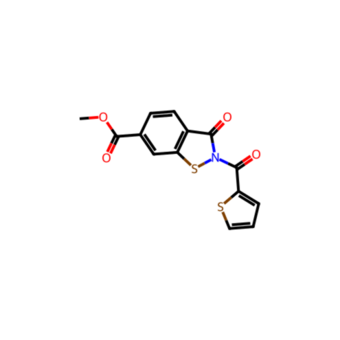 COC(=O)c1ccc2c(=O)n(C(=O)c3cccs3)sc2c1